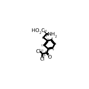 N[C@@H](Cc1cccc(C(=O)C(Cl)Cl)c1)C(=O)O